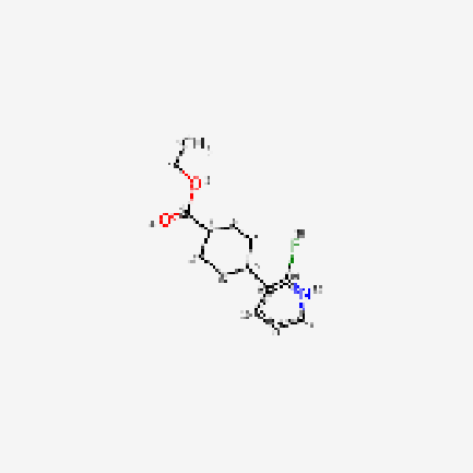 CCOC(=O)C1CCC(c2cccnc2F)CC1